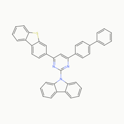 c1ccc(-c2ccc(-c3cc(-c4ccc5c(c4)sc4ccccc45)nc(-n4c5ccccc5c5ccccc54)n3)cc2)cc1